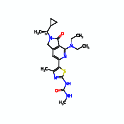 CCN(CC)c1nc(-c2sc(NC(=O)NC)nc2C)cc2c1C(=O)N([C@@H](C)C1CC1)C2